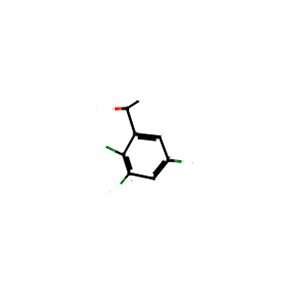 CC(O)c1cc(F)cc(F)c1F